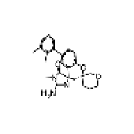 Cc1cccc(-c2ccc3c(c2)[C@]2(C[C@]4(CCCOC4)O3)N=C(N)N(C)C2=O)c1C